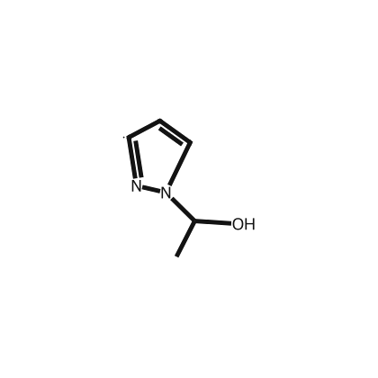 CC(O)n1cc[c]n1